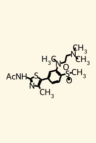 CC(=O)Nc1nc(C)c(-c2ccc(S(C)(=O)=O)c(N(C)CCN(C)C)c2)s1